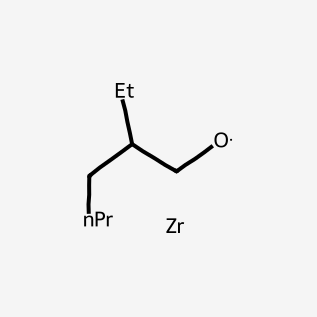 CCCCC(CC)C[O].[Zr]